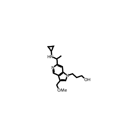 COCc1cn(CCCO)c2cc(C(C)NC3CC3)ncc12